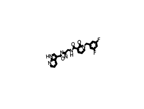 O=C(NCc1noc(-c2c[nH]c3ncccc23)n1)c1cccn(Cc2cc(F)cc(F)c2)c1=O